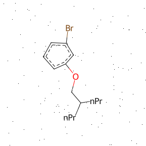 CCCC(CCC)COc1cccc(Br)c1